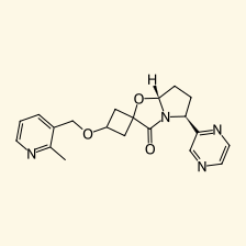 Cc1ncccc1COC1CC2(C1)O[C@@H]1CC[C@@H](c3cnccn3)N1C2=O